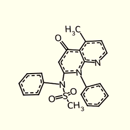 Cc1ccnc2c1c(=O)cc(N(c1ccccc1)S(C)(=O)=O)n2-c1ccccc1